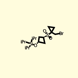 CC(C)[Si](O[C@H]1C[C@@H](S(=O)(=O)C2(CBr)CC2)C1)(C(C)C)C(C)C